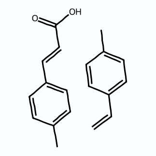 C=Cc1ccc(C)cc1.Cc1ccc(C=CC(=O)O)cc1